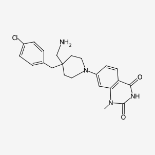 Cn1c(=O)[nH]c(=O)c2ccc(N3CCC(CN)(Cc4ccc(Cl)cc4)CC3)cc21